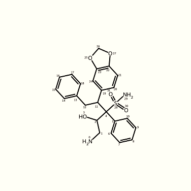 NCC(O)C(c1ccccc1)(C(Cc1ccccc1)c1ccc2c(c1)OCO2)S(N)(=O)=O